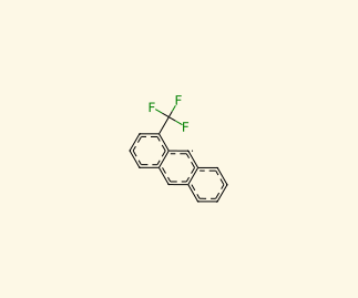 FC(F)(F)c1cccc2cc3ccccc3[c]c12